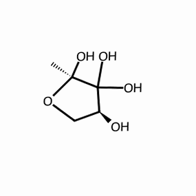 C[C@@]1(O)OC[C@H](O)C1(O)O